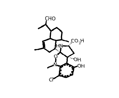 CC1=CC2C(C(C)C=O)CCC(C)C2C([C@]23N[C@H](C(=O)O)C[C@@]2(O)c2c(O)ccc(Cl)c2N(C)O3)C1